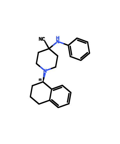 N#CC1(Nc2ccccc2)CCN([C@@H]2CCCc3ccccc32)CC1